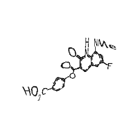 CNc1cc(F)cc2cc(C(=O)Oc3ccc(C(=O)O)cc3)c(=O)[nH]c12